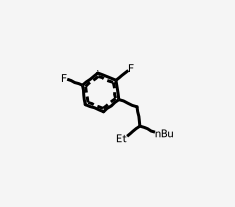 CCCCC(CC)Cc1ccc(F)[c]c1F